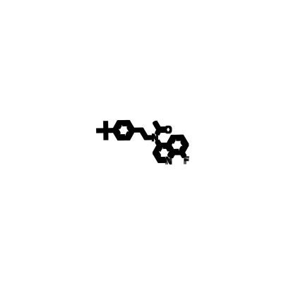 CC(=O)N(CCc1ccc(C(C)(C)C)cc1)c1ccnc2c(F)cccc12